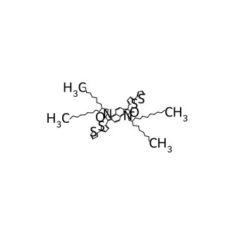 CCCCCCCCCCC(CCCCCCCC)CN1C(=O)C(c2ccc(-c3cccs3)s2)=c2ccc3c4c(ccc3c21)=C(c1ccc(-c2cccs2)s1)C(=O)N4CC(CCCCCCCC)CCCCCCCCCC